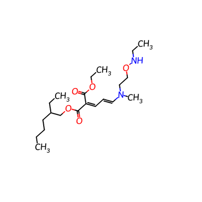 CCCCC(CC)COC(=O)C(=CC=CN(C)CCONCC)C(=O)OCC